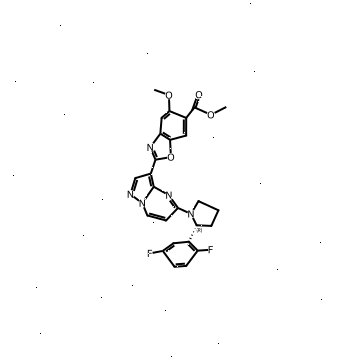 COC(=O)c1cc2oc(-c3cnn4ccc(N5CCC[C@@H]5c5cc(F)ccc5F)nc34)nc2cc1OC